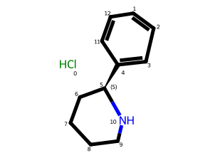 Cl.c1ccc([C@@H]2CCCCN2)cc1